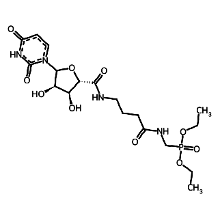 CCOP(=O)(CNC(=O)CCCNC(=O)[C@H]1OC(n2ccc(=O)[nH]c2=O)[C@H](O)[C@@H]1O)OCC